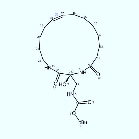 CC(C)(C)OC(=O)NC[C@@]1(O)NC(=O)CCCCCC/C=C\CCCCNC1=O